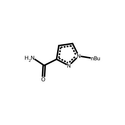 CCCCn1ccc(C(N)=O)n1